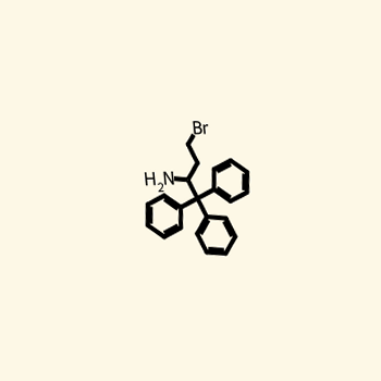 NC(CCBr)C(c1ccccc1)(c1ccccc1)c1ccccc1